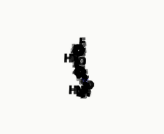 O=C(Cc1ccc(/C=C/C(=O)c2ncc[nH]2)cc1)Nc1ccc(F)cc1